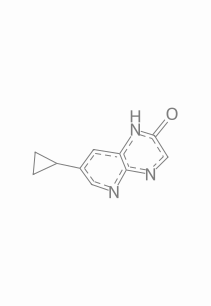 O=c1cnc2ncc(C3CC3)cc2[nH]1